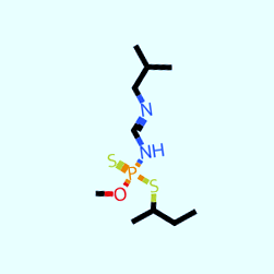 CCC(C)SP(=S)(NC=NCC(C)C)OC